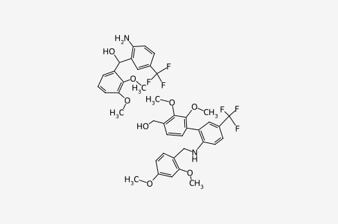 COc1ccc(CNc2ccc(C(F)(F)F)cc2-c2ccc(CO)c(OC)c2OC)c(OC)c1.COc1cccc(C(O)c2cc(C(F)(F)F)ccc2N)c1OC